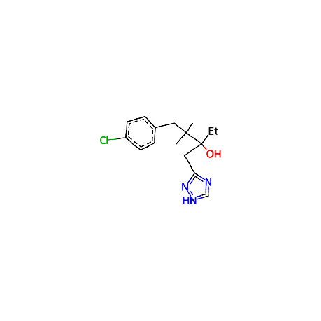 CCC(O)(Cc1nc[nH]n1)C(C)(C)Cc1ccc(Cl)cc1